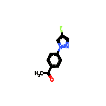 CC(=O)c1ccc(-n2cc(F)cn2)cc1